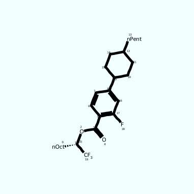 CCCCCCCC[C@H](OC(=O)c1ccc(C2CCC(CCCCC)CC2)cc1F)C(F)(F)F